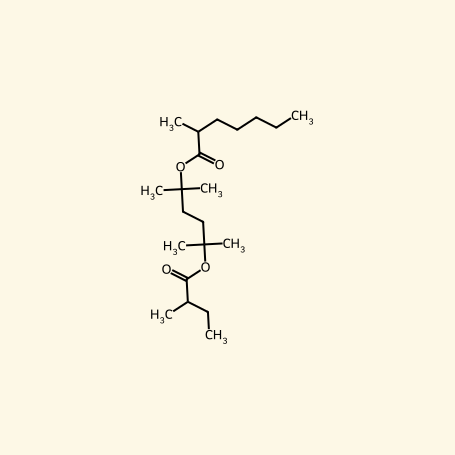 CCCCCC(C)C(=O)OC(C)(C)CCC(C)(C)OC(=O)C(C)CC